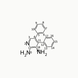 Nc1ncc(-c2ccccc2)c(-c2ccccc2)c1N